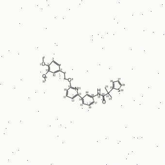 COc1ccc(CCOc2cccc(-c3cccc(NC(=O)C(C)(C)c4cccs4)c3)n2)cc1OC